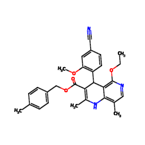 CCOc1ncc(C)c2c1C(c1ccc(C#N)cc1OC)C(C(=O)OCc1ccc(C)cc1)=C(C)N2